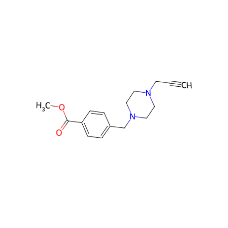 C#CCN1CCN(Cc2ccc(C(=O)OC)cc2)CC1